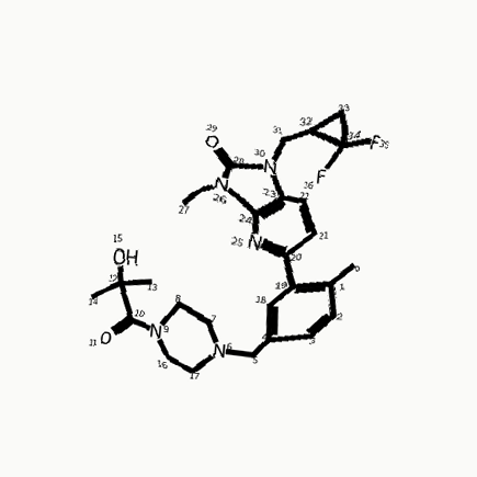 Cc1ccc(CN2CCN(C(=O)C(C)(C)O)CC2)cc1-c1ccc2c(n1)n(C)c(=O)n2CC1CC1(F)F